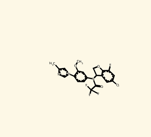 COc1cc(N(C(=O)C(F)(F)F)C2COc3c(F)cc(Cl)cc32)ccc1-n1cnc(C)c1